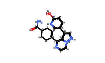 NC(=O)C1CC=C(c2nccn3ncc(-c4ccc(O)nc4)c23)CC1